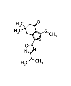 CSc1sc(-c2nc(C(C)C)no2)c2c1C(=O)CC(C)(C)C2